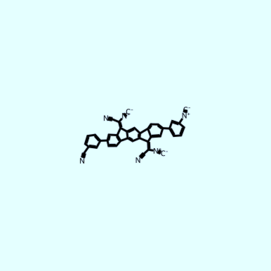 [C-]#[N+]/C(C#N)=C1/c2cc(-c3cccc(C#N)c3)ccc2-c2cc3c(cc21)-c1ccc(-c2cccc([N+]#[C-])c2)cc1/C3=C(/C#N)[N+]#[C-]